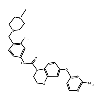 CN1CCN(Cc2ccc(NC(=O)N3CCOc4cc(Oc5ccnc(N)n5)ccc43)cc2C(F)(F)F)CC1